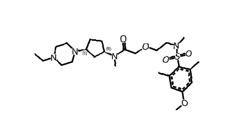 CCN1CCN([C@H]2CC[C@@H](N(C)C(=O)COCCN(C)S(=O)(=O)c3c(C)cc(OC)cc3C)C2)CC1